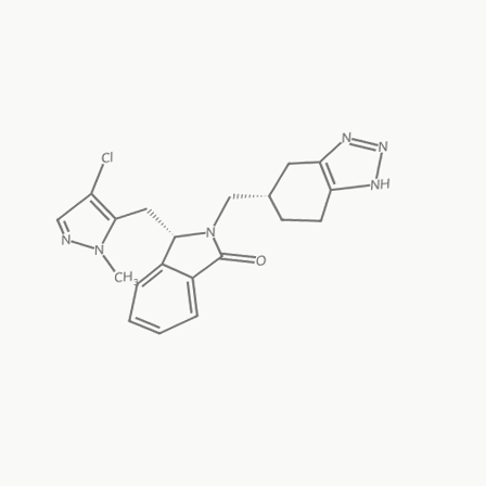 Cn1ncc(Cl)c1C[C@H]1c2ccccc2C(=O)N1C[C@H]1CCc2[nH]nnc2C1